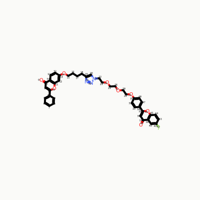 O=c1cc(-c2ccccc2)oc2cc(OCCCCc3cn(CCOCCOCCOc4ccc(-c5cc(=O)c6cc(F)ccc6o5)cc4)nn3)ccc12